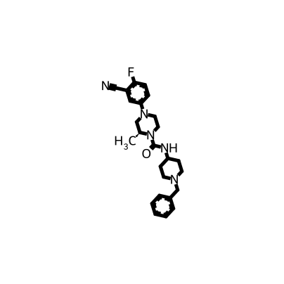 C[C@@H]1CN(c2ccc(F)c(C#N)c2)CCN1C(=O)NC1CCN(Cc2ccccc2)CC1